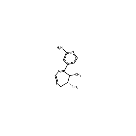 CC1C(c2ccnc(N)c2)=NC=NC[C@H]1C